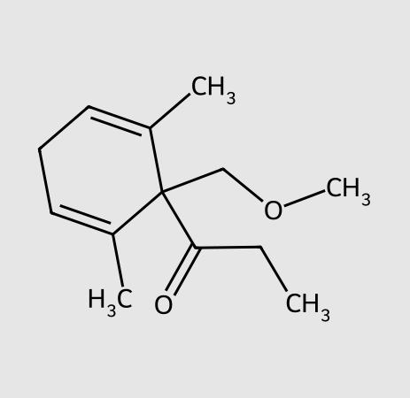 CCC(=O)C1(COC)C(C)=CCC=C1C